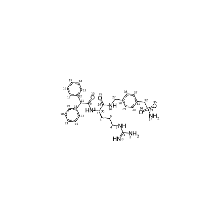 N=C(N)NCCC[C@@H](NC(=O)C(c1ccccc1)c1ccccc1)C(=O)NCc1ccc(CS(N)(=O)=O)cc1